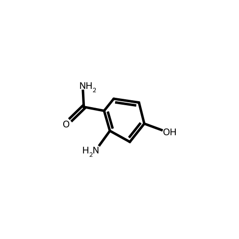 NC(=O)c1ccc(O)cc1N